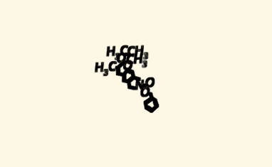 CC(=Cc1ccc2c(c1)CCN(C(=O)OCc1ccccc1)C2)C(=O)OC(C)(C)C